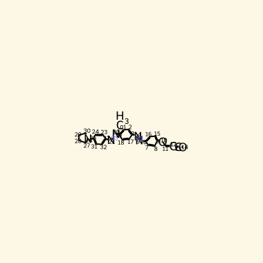 Cc1cc(/N=N/c2ccc(OC=C=C=O)cc2)ccc1/N=N/c1ccc(N2CCCC2)cc1